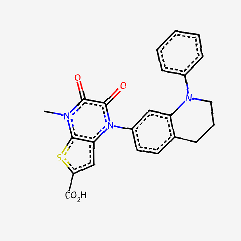 Cn1c(=O)c(=O)n(-c2ccc3c(c2)N(c2ccccc2)CCC3)c2cc(C(=O)O)sc21